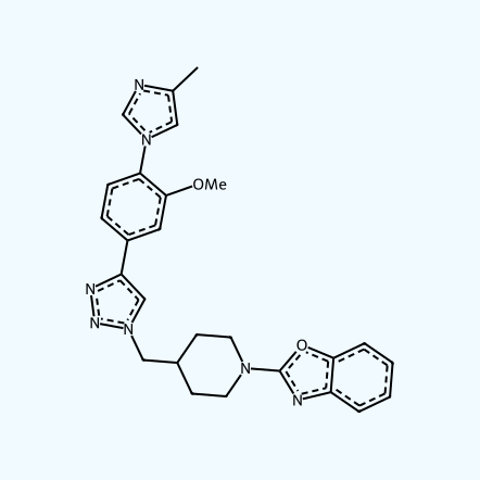 COc1cc(-c2cn(CC3CCN(c4nc5ccccc5o4)CC3)nn2)ccc1-n1cnc(C)c1